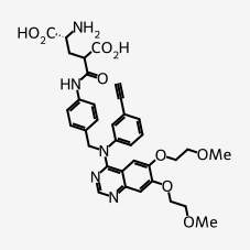 C#Cc1cccc(N(Cc2ccc(NC(=O)C(C[C@@H](N)C(=O)O)C(=O)O)cc2)c2ncnc3cc(OCCOC)c(OCCOC)cc23)c1